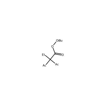 CCC(C(C)=O)(C(C)=O)C(=O)OOCC(C)C